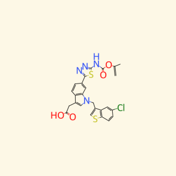 C=C(C)OC(=O)Nc1nnc(-c2ccc3c(CC(=O)O)cn(Cc4csc5ccc(Cl)cc45)c3c2)s1